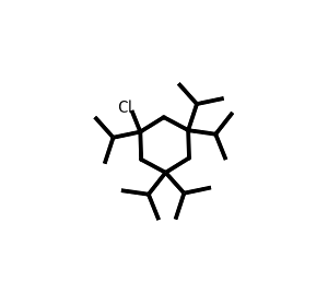 CC(C)C1(Cl)CC(C(C)C)(C(C)C)CC(C(C)C)(C(C)C)C1